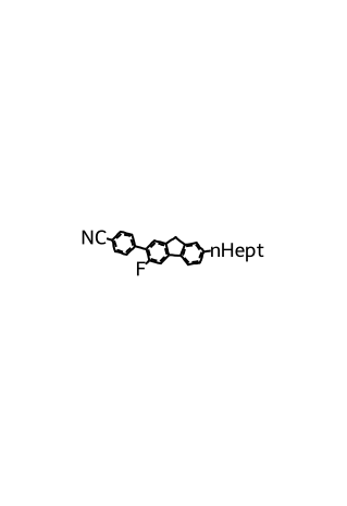 CCCCCCCc1ccc2c(c1)Cc1cc(-c3ccc(C#N)cc3)c(F)cc1-2